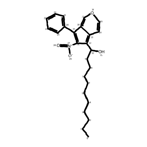 CCCCCCCCCCC(O)c1c2ccocc-2c(-c2ccccc2)c1[N+](=O)[O-]